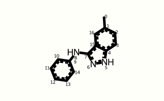 Cc1ccc2[nH]nc(Nc3ccccc3)c2c1